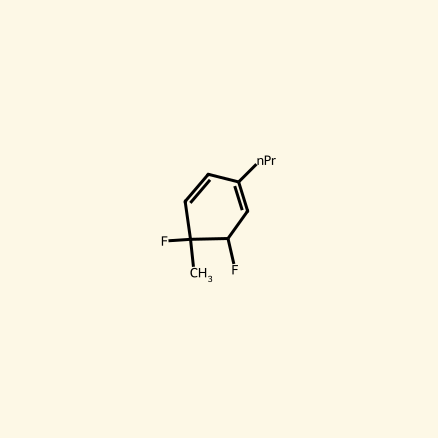 CCCC1=CC(F)C(C)(F)C=C1